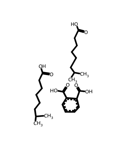 CC(C)CCCCCC(=O)O.CC(C)CCCCCC(=O)O.O=C(O)c1ccccc1C(=O)O